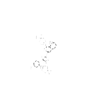 FC1(F)CCN(c2nc(-c3nnc(-c4ccc(I)cc4N4CCC5(CC4)CC5)o3)cc3cccnc23)CC1